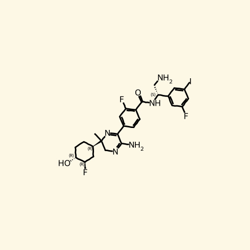 CC1([C@@H]2CC[C@@H](O)[C@H](F)C2)CN=C(N)C(c2ccc(C(=O)N[C@H](CN)c3cc(F)cc(I)c3)c(F)c2)=N1